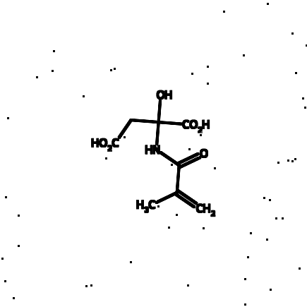 C=C(C)C(=O)NC(O)(CC(=O)O)C(=O)O